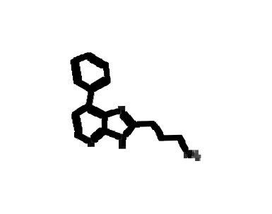 NCCCc1nc2c(-c3ccccc3)ccnc2[nH]1